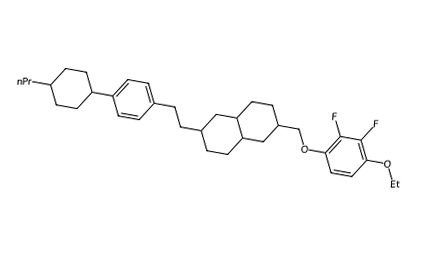 CCCC1CCC(c2ccc(CCC3CCC4CC(COc5ccc(OCC)c(F)c5F)CCC4C3)cc2)CC1